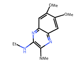 CCNc1nc2cc(OC)c(OC)cc2nc1NC